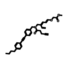 C#CCCC(=O)N(C/C(C=C)=C/C=C/OCC(=O)OC)Cc1ccc(C#Cc2ccc(CCCC)cc2)cc1